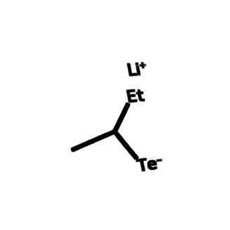 CCC(C)[Te-].[Li+]